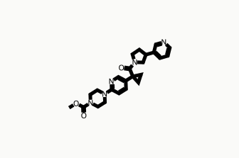 COC(=O)N1CCN(c2ccc(C3(C(=O)N4CCC(c5cccnc5)C4)CC3)cn2)CC1